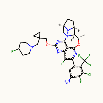 C[C@@H]1Oc2nc(-c3cc(N)c(F)c(Cl)c3C(F)(F)F)c(F)c3nc(OCC4(CN5CCC(F)CC5)CC4)nc(c23)N2C[C@H]3CC[C@H](N3)[C@@H]12